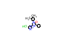 Cc1ccc(N(CCc2cccnc2)C(=O)[C@@H](N)c2ccccc2)cc1C.Cl